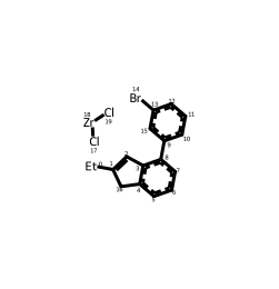 CCC1=Cc2c(cccc2-c2cccc(Br)c2)[CH]1.[Cl][Zr][Cl]